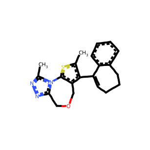 Cc1sc2c(c1C1=CCCCc3ccccc31)COCc1nnc(C)n1-2